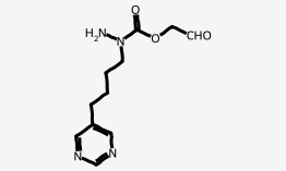 NN(CCCCc1cncnc1)C(=O)OCC=O